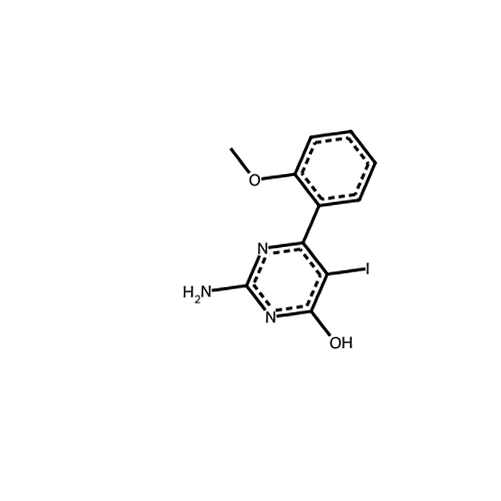 COc1ccccc1-c1nc(N)nc(O)c1I